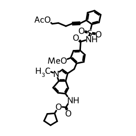 COc1cc(C(=O)NS(=O)(=O)c2ccccc2C#CCCCOC(C)=O)ccc1Cc1cn(C)c2ccc(NC(=O)OC3CCCC3)cc12